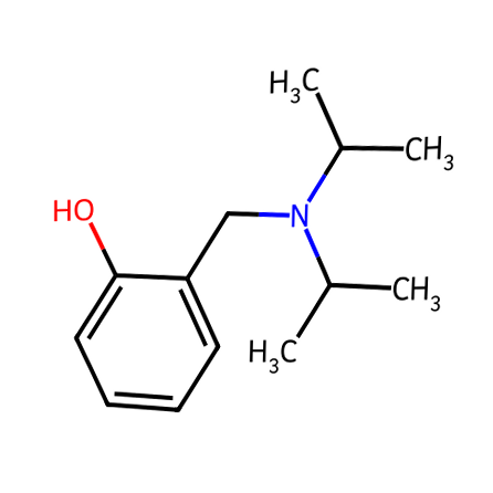 CC(C)N(Cc1ccccc1O)C(C)C